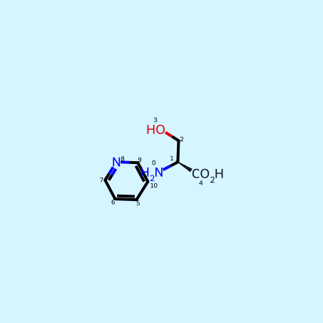 N[C@@H](CO)C(=O)O.c1ccncc1